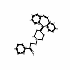 O=C(CCN1CCC(=C2c3ccccc3C=Cc3ccccc32)CC1)c1ccccc1